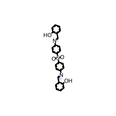 O=S(=O)(c1ccc(/N=C/c2ccccc2O)cc1)c1ccc(/N=C/c2ccccc2O)cc1